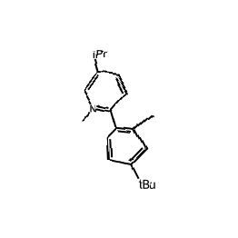 Cc1cc(C(C)(C)C)ccc1-c1ccc(C(C)C)c[n+]1C